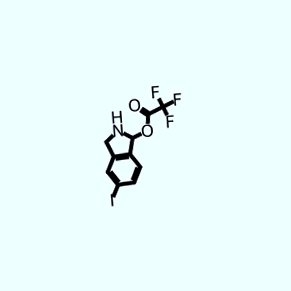 O=C(OC1NCc2cc(I)ccc21)C(F)(F)F